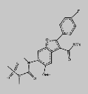 CNC(=O)c1c(-c2ccc(F)cc2)oc2cc(N(C)C(=O)N(C)S(C)(=O)=O)c(OC)cc12